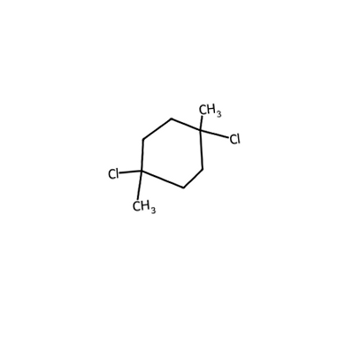 CC1(Cl)CCC(C)(Cl)CC1